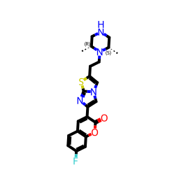 C[C@@H]1CNC[C@H](C)N1CCc1cn2cc(-c3cc4ccc(F)cc4oc3=O)nc2s1